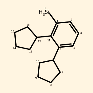 [SiH3]c1cccc(C2CCCC2)c1C1CCCC1